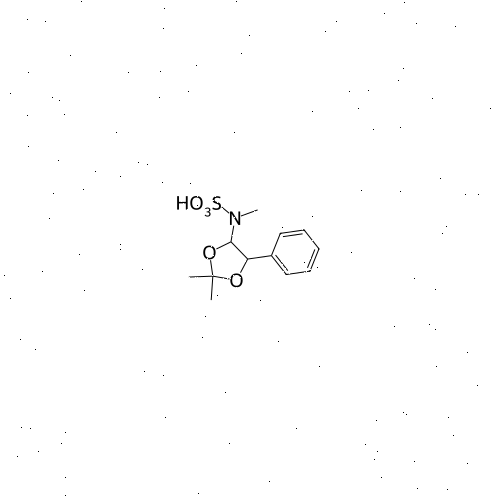 CN(C1OC(C)(C)OC1c1ccccc1)S(=O)(=O)O